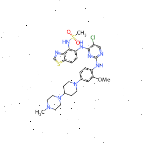 COc1cc(N2CCC(N3CCN(C)CC3)CC2)ccc1Nc1ncc(Cl)c(Nc2ccc3scnc3c2NS(C)(=O)=O)n1